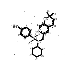 CC(C)c1ccc(S(=O)(=O)N(Cc2cc3c(cn2)OC(C)(C)C=C3)C2CCCCC2)cc1